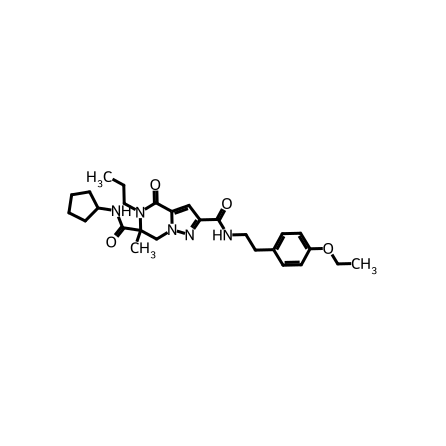 CCCN1C(=O)c2cc(C(=O)NCCc3ccc(OCC)cc3)nn2CC1(C)C(=O)NC1CCCC1